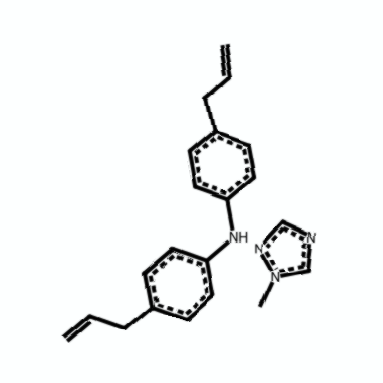 C=CCc1ccc(Nc2ccc(CC=C)cc2)cc1.Cn1cncn1